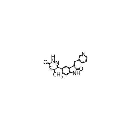 CC1SC(=O)NN=C1c1ccc2c(c1)C(=Cc1cccnc1)C(=O)N2